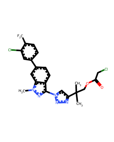 Cn1nc(-n2cc(C(C)(C)COC(=O)CCl)nn2)c2ccc(-c3ccc(C(F)(F)F)c(Cl)c3)cc21